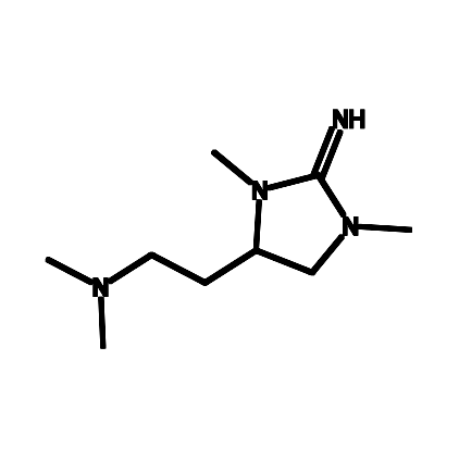 CN(C)CCC1CN(C)C(=N)N1C